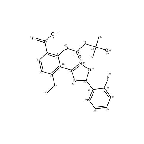 CCc1ccc(C(=O)O)c(OC(=O)CC(C)(C)O)c1-c1noc(-c2ccccc2F)n1